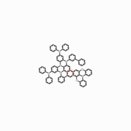 c1ccc(-c2cccc(N3c4cc(N(c5ccccc5)c5ccccc5)ccc4B4c5ccc(N(c6ccccc6)c6ccccc6)cc5N(c5ccccc5-c5ccccc5)c5cc(-c6cc7c8c(c6)Oc6ccccc6B8c6ccccc6O7)cc3c54)c2)cc1